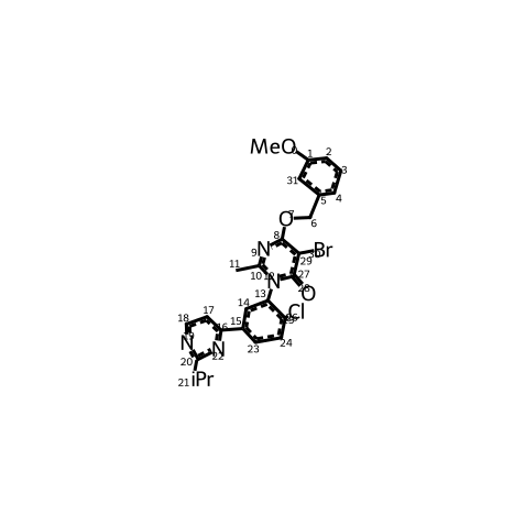 COc1cccc(COc2nc(C)n(-c3cc(-c4ccnc(C(C)C)n4)ccc3Cl)c(=O)c2Br)c1